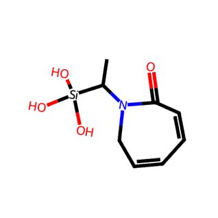 CC(N1CC=CC=CC1=O)[Si](O)(O)O